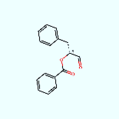 O=[C][C@@H](Cc1ccccc1)OC(=O)c1ccccc1